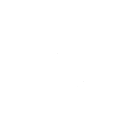 CC1(NC(=O)OCc2ccccc2)CCCCC1